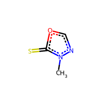 Cn1ncoc1=S